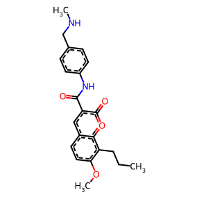 CCCc1c(OC)ccc2cc(C(=O)Nc3ccc(CNC)cc3)c(=O)oc12